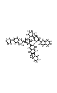 c1ccc(-c2ccc3cc(-c4nc(-c5ccc6cc7c(cc6c5)oc5ccccc57)nc(-c5cccc6oc7cc(-c8ccc9ccccc9c8)ccc7c56)n4)ccc3c2)cc1